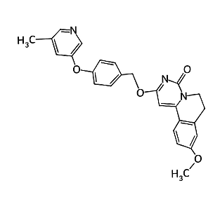 COc1ccc2c(c1)CCn1c-2cc(OCc2ccc(Oc3cncc(C)c3)cc2)nc1=O